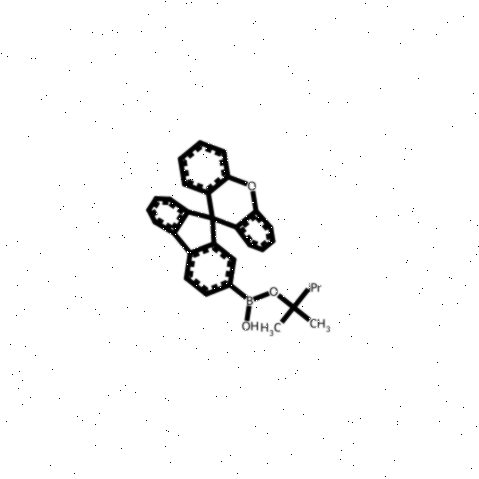 CC(C)C(C)(C)OB(O)c1ccc2c(c1)C1(c3ccccc3Oc3ccccc31)c1ccccc1-2